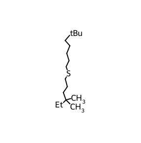 CCC(C)(C)CCCSCCCCCC(C)(C)C